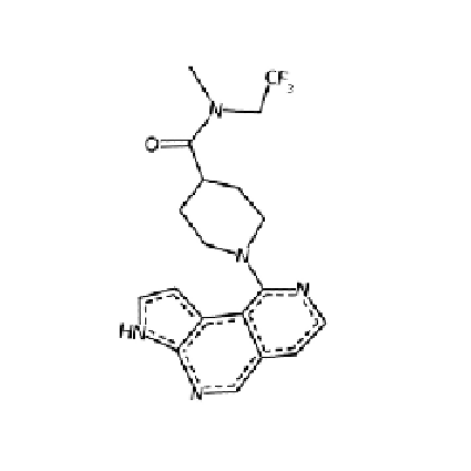 CN(CC(F)(F)F)C(=O)C1CCN(c2nccc3cnc4[nH]ccc4c23)CC1